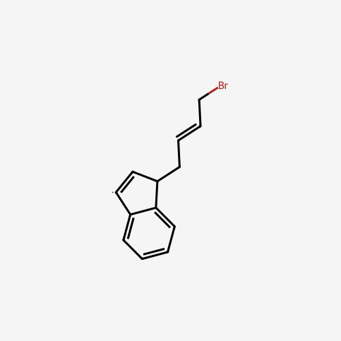 BrC/C=C/CC1C=[C]c2ccccc21